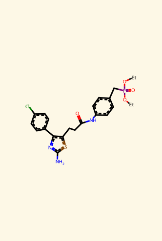 CCOP(=O)(Cc1ccc(NC(=O)CCc2sc(N)nc2-c2ccc(Cl)cc2)cc1)OCC